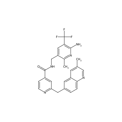 Cc1cnc2ccc(Cc3cc(C(=O)NCc4cc(C(F)(F)F)c(N)nc4C)ccn3)cc2c1